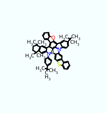 CC(C)(C)c1ccc(N2B3c4cc5sc6ccccc6c5cc4-n4c5ccc(C(C)(C)C)cc5c5c6oc7ccccc7c6c(c3c54)-c3cc4c(cc32)C(C)(C)CCC4(C)C)cc1